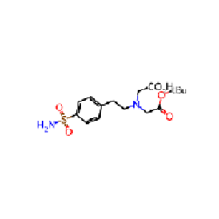 CC(C)(C)OC(=O)CN(CCc1ccc(S(N)(=O)=O)cc1)CC(=O)O